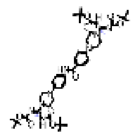 CC(C)(C)OC(=O)/N=C(\NC(=O)OC(C)(C)C)N1CCN(c2ccc(NC(=O)c3ccc(N4CCN(/C(=N/C(=O)OC(C)(C)C)NC(=O)OC(C)(C)C)CC4)cc3)cc2)CC1